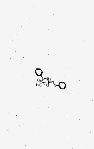 O=C(N=Nc1ccccc1)NN(c1ccccc1)S(=O)(=O)O